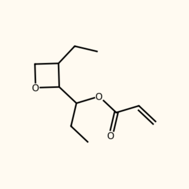 C=CC(=O)OC(CC)C1OCC1CC